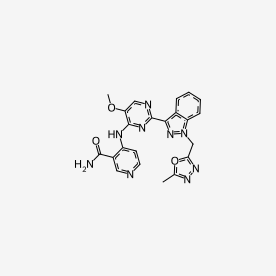 COc1cnc(-c2nn(Cc3nnc(C)o3)c3ccccc23)nc1Nc1ccncc1C(N)=O